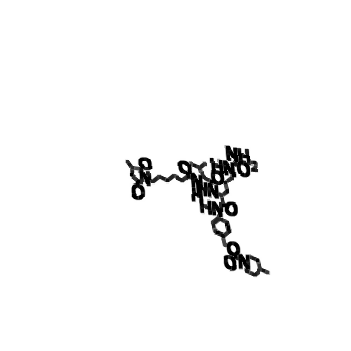 CC1CCN(C(=O)OCc2ccc(NC(=O)[C@H](CCCNC(N)=O)NC(=O)[C@@H](NC(=O)CCCCCN3C(=O)CC(C)C3=O)C(C)C)cc2)CC1